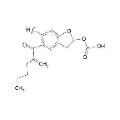 C=C(CCCC)C(=O)c1cc2c(cc1C)OC(OC(=O)O)C2